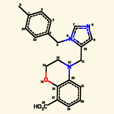 Cc1ccc(Cn2cncc2CN2CCOc3c(C(=O)O)cccc32)cc1